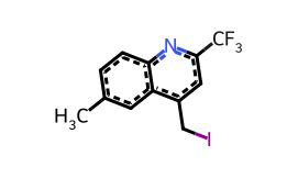 Cc1ccc2nc(C(F)(F)F)cc(CI)c2c1